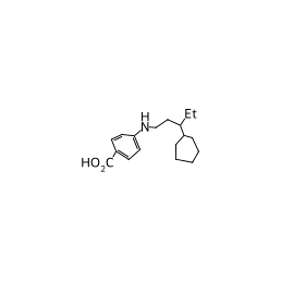 CCC(CCNc1ccc(C(=O)O)cc1)C1CCCCC1